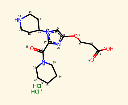 Cl.Cl.O=C(O)CCOc1cn(C2CCNCC2)c(C(=O)N2CCCCC2)n1